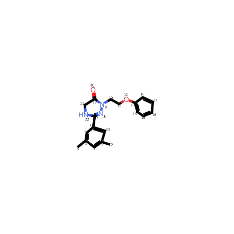 Cc1cc(C)cc(C2=NN(CCOc3ccccc3)C(=O)CN2)c1